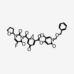 Cn1c(C(=O)Oc2cc(=O)n(COCc3ccccc3)cc2Cl)cc(=O)cc1C(=O)n1c(=O)c(F)cn(C2CCCO2)c1=O